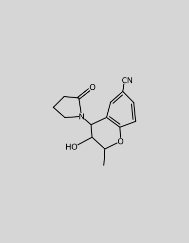 CC1Oc2ccc(C#N)cc2C(N2CCCC2=O)C1O